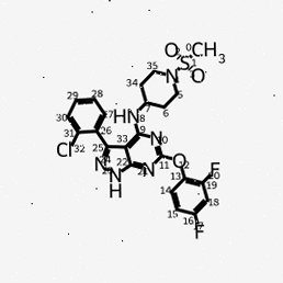 CS(=O)(=O)N1CCC(Nc2nc(Oc3ccc(F)cc3F)nc3[nH]nc(-c4ccccc4Cl)c23)CC1